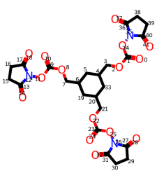 O=C(OCC1CC(COC(=O)ON2C(=O)CCC2=O)CC(COC(=O)ON2C(=O)CCC2=O)C1)ON1C(=O)CCC1=O